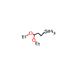 CCOC(CC[SiH3])OCC